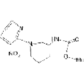 CC(C)(C)OC(=O)NC1CCCN(c2ncccc2[N+](=O)[O-])C1